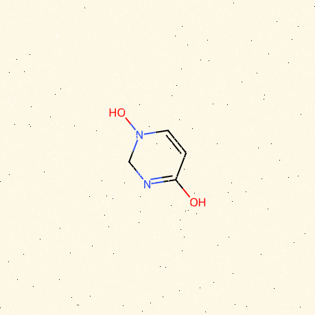 OC1=NCN(O)C=C1